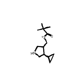 CC(C)(C)C(=O)OCC1CNCC1C1CC1